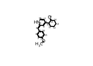 COc1ccc(C=C2C=C(C3CCCCC3=O)C=CN2)cc1